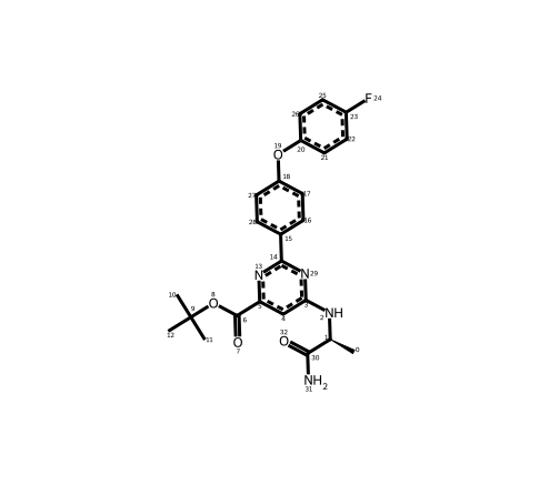 C[C@H](Nc1cc(C(=O)OC(C)(C)C)nc(-c2ccc(Oc3ccc(F)cc3)cc2)n1)C(N)=O